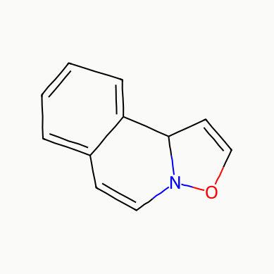 C1=CC2c3ccccc3C=CN2O1